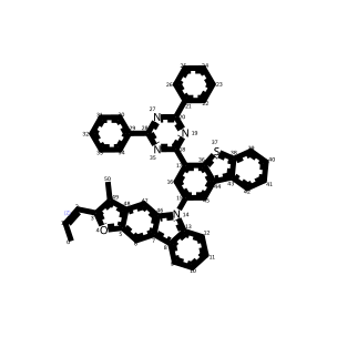 C/C=C\c1oc2cc3c4ccccc4n(-c4cc(-c5nc(-c6ccccc6)nc(-c6ccccc6)n5)c5sc6ccccc6c5c4)c3cc2c1C